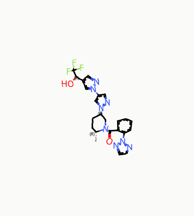 C[C@@H]1CC[C@@H](n2cc(-n3cc([C@@H](O)C(F)(F)F)cn3)cn2)CN1C(=O)c1ccccc1-n1nccn1